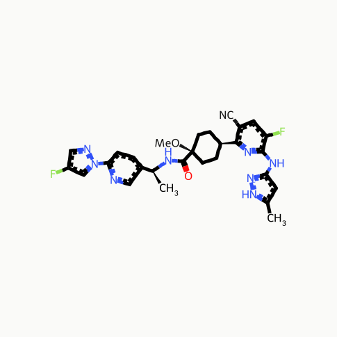 CO[C@]1(C(=O)N[C@@H](C)c2ccc(-n3cc(F)cn3)nc2)CC[C@H](c2nc(Nc3cc(C)[nH]n3)c(F)cc2C#N)CC1